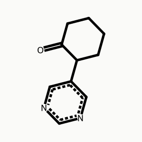 O=C1CCCCC1c1cncnc1